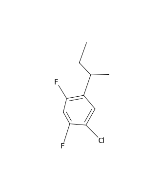 CCC(C)c1cc(Cl)c(F)cc1F